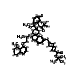 COC(=O)C1(N(C(=O)C(F)(F)F)c2cccc(Cl)c2)CCC2(CC1)c1cc(CN3CC4(C3)CN(C(=O)OC(C)(C)C)C4)ccc1C[C@@H]2C[C@@H](C)COc1ccnc2c1[C@H](C)CCC2